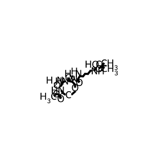 COC(=O)[C@@H]1CCCCOC[C@H](NC(=O)[C@@H](N)CCCCNC(=O)OC(C)(C)C)C(=O)N[C@@H](N)C(=O)N1